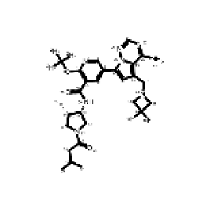 [2H]C([2H])([2H])Oc1ncc(-c2cc(CN3CC(F)(F)C3)c3c(N)ncnn23)cc1C(=O)N[C@@H]1CN(C(=O)CC(C)C)C[C@@H]1F